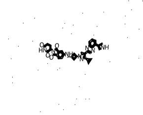 O=C1CCC(N2C(=O)c3ccc(NC[C@H]4C[C@H](n5cc(-c6cnc7c(C8CNC8)cccc7n6)c(C6CC6)n5)C4)cc3C2=O)C(=O)N1